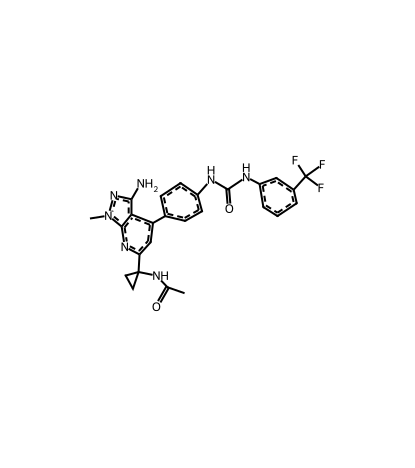 CC(=O)NC1(c2cc(-c3ccc(NC(=O)Nc4cccc(C(F)(F)F)c4)cc3)c3c(N)nn(C)c3n2)CC1